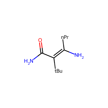 CCCC(N)=C(C(N)=O)C(C)(C)C